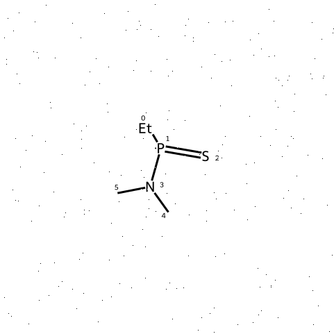 CC[P](=S)N(C)C